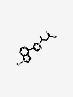 O=C(O)CC(I)n1cc(-c2ncnc3c2ccn3P)cn1